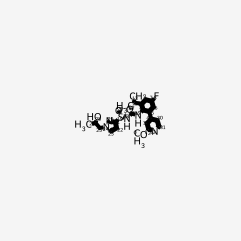 COc1cc(-c2cc(F)cc(C(C)C)c2NC(=O)N[S+]([O-])c2ccn(CC(C)O)n2)ccn1